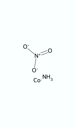 N.O=[N+]([O-])[O-].[Co]